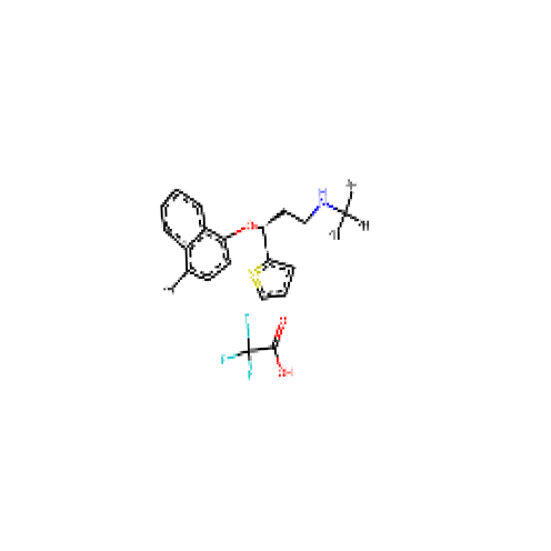 O=C(O)C(F)(F)F.[2H]c1ccc(O[C@@H](CCNC([2H])([2H])[2H])c2cccs2)c2ccccc12